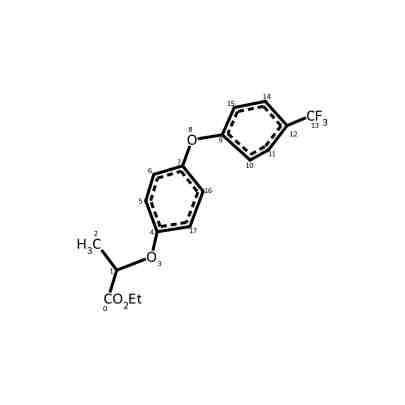 CCOC(=O)C(C)Oc1ccc(Oc2ccc(C(F)(F)F)cc2)cc1